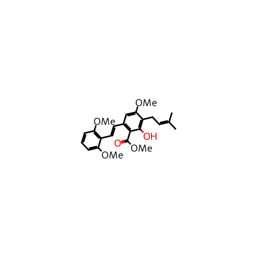 COC(=O)c1c(/C=C/c2c(OC)cccc2OC)cc(OC)c(CC=C(C)C)c1O